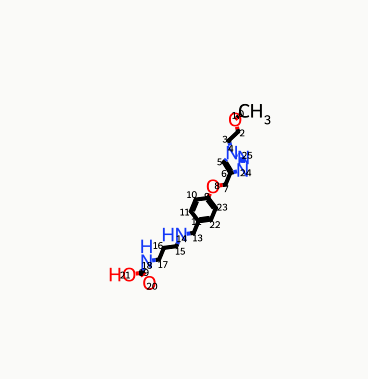 COCCn1cc(COc2ccc(CNCCCNC(=O)O)cc2)nn1